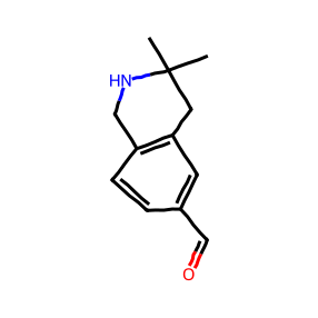 CC1(C)Cc2cc(C=O)ccc2CN1